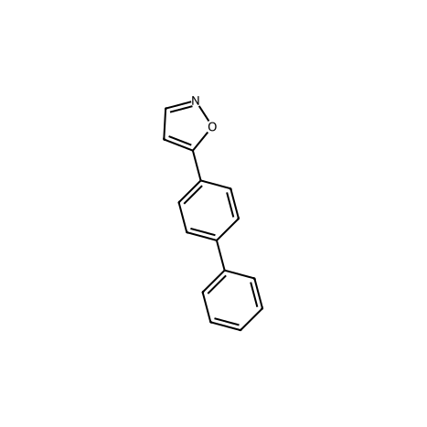 c1ccc(-c2ccc(-c3ccno3)cc2)cc1